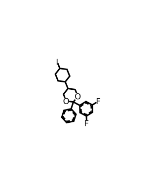 Fc1cc(F)cc(C2(c3ccccc3)OCC(C3CCC(I)CC3)CO2)c1